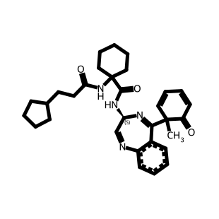 CC1(C2=N[C@H](NC(=O)C3(NC(=O)CCC4CCCC4)CCCCC3)C=Nc3ccccc32)C=CC=CC1=O